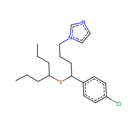 CCCC(CCC)SC(CCCn1ccnc1)c1ccc(Cl)cc1